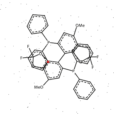 COc1cc(P(c2ccccc2)c2ccccc2)c(-c2c(P(c3ccccc3)c3ccccc3)cc(OC)c3c2OC(F)(F)O3)c2c1OC(F)(F)O2